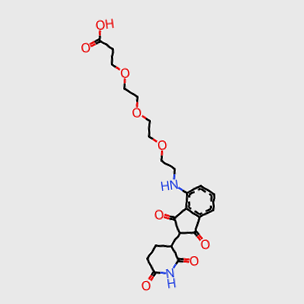 O=C(O)CCOCCOCCOCCNc1cccc2c1C(=O)C(C1CCC(=O)NC1=O)C2=O